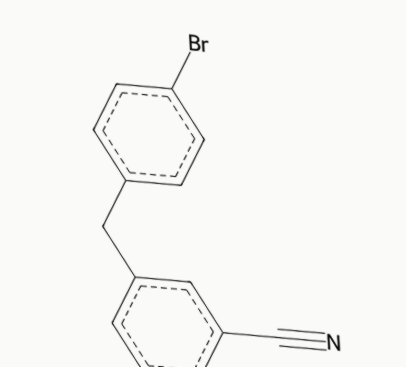 N#Cc1cccc(Cc2ccc(Br)cc2)c1